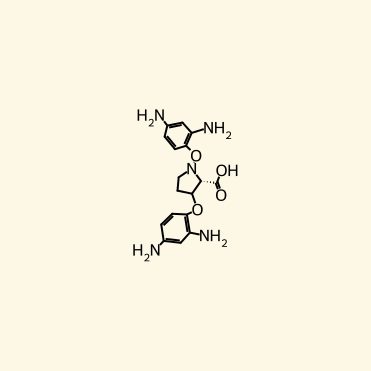 Nc1ccc(OC2CCN(Oc3ccc(N)cc3N)[C@@H]2C(=O)O)c(N)c1